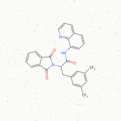 O=C(Nc1cccc2cccnc12)C(Cc1cc(C(F)(F)F)cc(C(F)(F)F)c1)N1C(=O)c2ccccc2C1=O